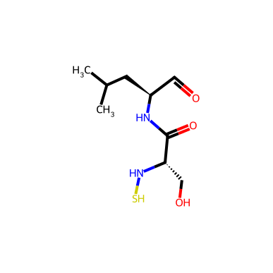 CC(C)C[C@@H](C=O)NC(=O)[C@H](CO)NS